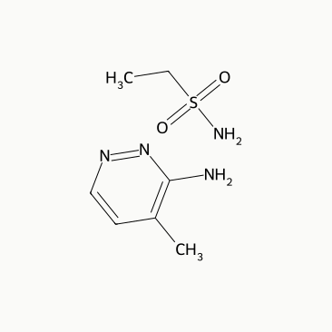 CCS(N)(=O)=O.Cc1ccnnc1N